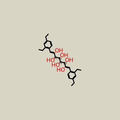 CCc1ccc(C=C(O)[C@@H](O)[C@@H](O)[C@H](O)[C@@H](O)C(O)=Cc2ccc(CC)cc2CC)c(CC)c1